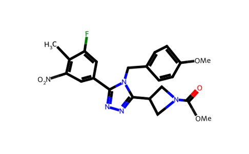 COC(=O)N1CC(c2nnc(-c3cc(F)c(C)c([N+](=O)[O-])c3)n2Cc2ccc(OC)cc2)C1